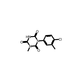 Cc1cc(-n2c(=O)[nH]c(=O)n(C)c2=O)ccc1Cl